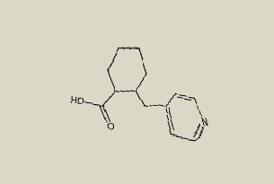 O=C(O)C1CCCCC1Cc1ccncc1